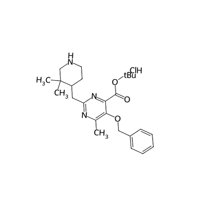 Cc1nc(CC2CCNCC2(C)C)nc(C(=O)OC(C)(C)C)c1OCc1ccccc1.Cl